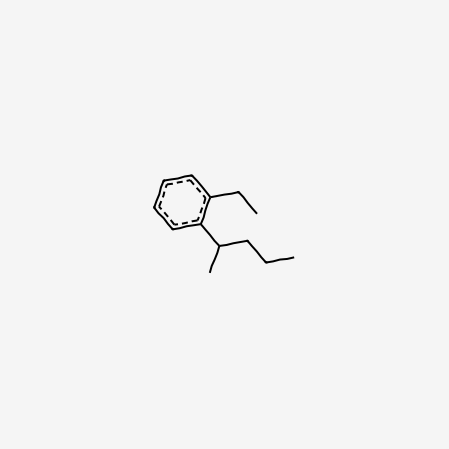 CCCC(C)c1ccccc1CC